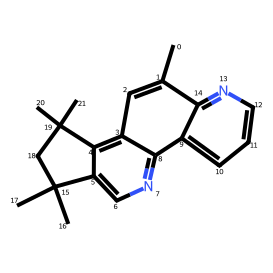 Cc1cc2c3c(cnc2c2cccnc12)C(C)(C)CC3(C)C